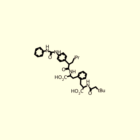 CC(C)CC(C(=O)NC(Cc1ccccc1CC(NC(=O)CC(C)(C)C)C(=O)O)C(=O)O)c1ccc(NC(=O)Nc2ccccc2)cc1